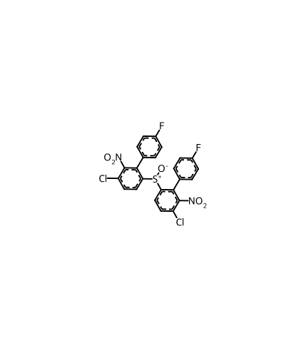 O=[N+]([O-])c1c(Cl)ccc([S+]([O-])c2ccc(Cl)c([N+](=O)[O-])c2-c2ccc(F)cc2)c1-c1ccc(F)cc1